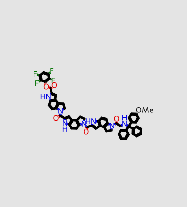 COc1ccc(C(NCC(=O)N2CCc3c2ccc2[nH]c(C(=O)N4CCc5c4ccc4[nH]c(C(=O)N6CCc7c6ccc6[nH]c(C(=O)Oc8c(F)c(F)cc(F)c8F)cc76)cc54)cc32)(c2ccccc2)c2ccccc2)cc1